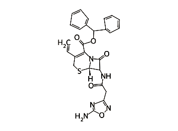 C=CC1=C(C(=O)OC(c2ccccc2)c2ccccc2)N2C(=O)C(NC(=O)Cc3noc(N)n3)[C@@H]2SC1